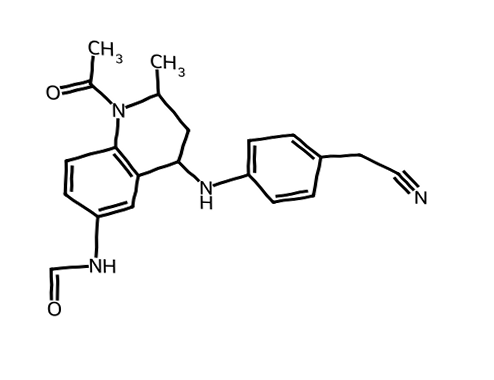 CC(=O)N1c2ccc(NC=O)cc2C(Nc2ccc(CC#N)cc2)CC1C